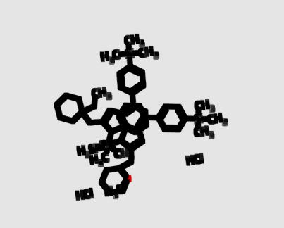 CCC1(CC2=Cc3c(-c4ccc([Si](C)(C)C)cc4)cccc3[CH]2[Zr]([CH3])([CH3])(=[SiH2])[CH]2C(CC3(CC)CCCCC3)=Cc3c(-c4ccc([Si](C)(C)C)cc4)cccc32)CCCCC1.Cl.Cl